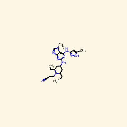 CCC1CC(Nc2nc(Nc3cc(C)[nH]n3)c3c(ncn3C)n2)CC(CC)N1CCC#N